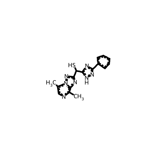 Cc1ncc(C)n2nc(C(S)c3nc(-c4ccccc4)n[nH]3)nc12